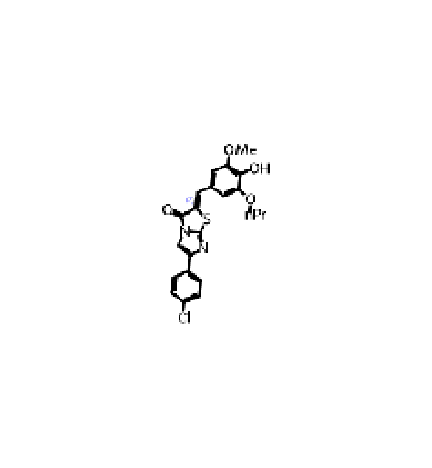 CCCOc1cc(/C=c2\sc3nc(-c4ccc(Cl)cc4)cn3c2=O)cc(OC)c1O